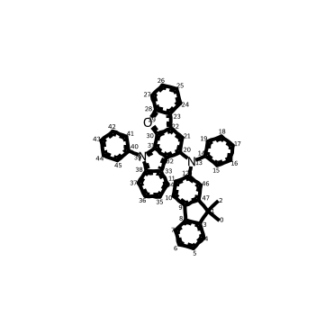 CC1(C)c2ccccc2-c2ccc(N(c3ccccc3)c3cc4c5ccccc5oc4c4c3c3ccccc3n4-c3ccccc3)cc21